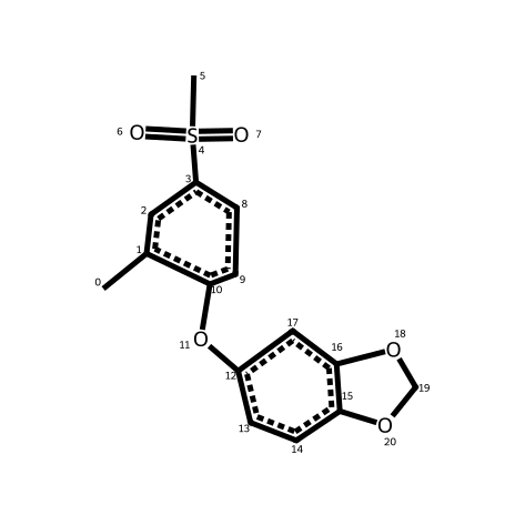 Cc1cc(S(C)(=O)=O)ccc1Oc1ccc2c(c1)OCO2